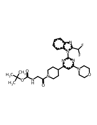 CC(C)(C)OC(=O)NCC(=O)N1CCC(c2cc(N3CCOCC3)nc(-n3c(C(F)F)nc4ccccc43)n2)CC1